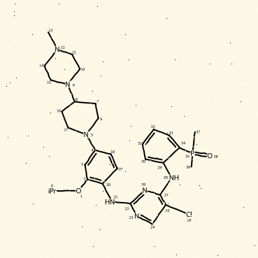 CC(C)Oc1cc(N2CCC(N3CCN(C)CC3)CC2)ccc1Nc1ncc(Cl)c(Nc2ccccc2P(C)(C)=O)n1